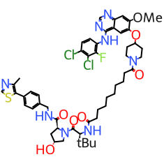 COc1cc2ncnc(Nc3ccc(Cl)c(Cl)c3F)c2cc1OC1CCN(C(=O)CCCCCCCCC(=O)N[C@H](C(=O)N2C[C@H](O)C[C@H]2C(=O)NCc2ccc(-c3scnc3C)cc2)C(C)(C)C)CC1